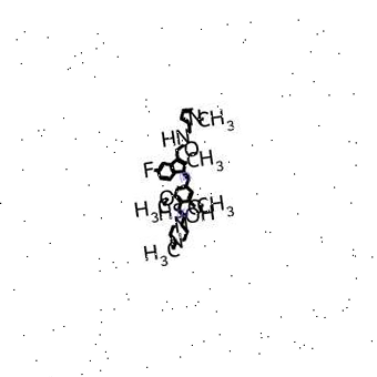 COc1cc(/C=C2/C(C)=C(CC(=O)NCc3cccn3C)c3cc(F)ccc32)cc(OC)c1/[SH]=C(\O)N1CCN(C)CC1